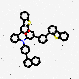 c1cc(-c2cccc(N(c3ccc(-c4cccc5ccccc45)cc3)c3ccccc3-c3ccc4sc5ccccc5c4c3)c2)cc(-c2cccc3c2sc2ccccc23)c1